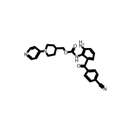 N#Cc1ccc(C(=O)c2cccc(N)c2NC(=O)OCC2CCN(c3ccncc3)CC2)cc1